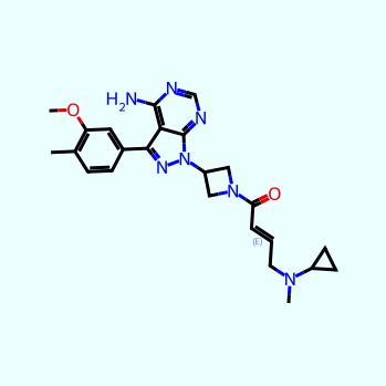 COc1cc(-c2nn(C3CN(C(=O)/C=C/CN(C)C4CC4)C3)c3ncnc(N)c23)ccc1C